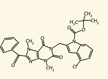 Cn1c(C(=O)c2ccccc2)nc2c1c(=O)n(Cc1cc3c(Cl)cccc3n1C(=O)OC(C)(C)C)c(=O)n2C